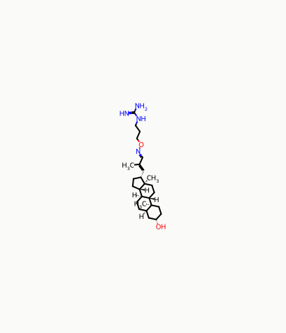 CC(/C=N/OCCCNC(=N)N)=C\[C@H]1CC[C@H]2[C@@H]3CC[C@@H]4C[C@@H](O)CC[C@]4(C)[C@H]3CC[C@]12C